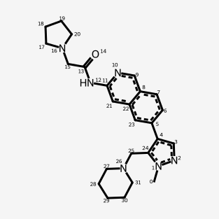 Cn1ncc(-c2ccc3cnc(NC(=O)CN4CCCC4)cc3c2)c1CN1CCCCC1